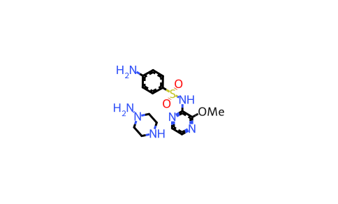 COc1nccnc1NS(=O)(=O)c1ccc(N)cc1.NN1CCNCC1